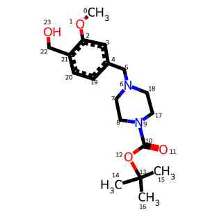 COc1cc(CN2CCN(C(=O)OC(C)(C)C)CC2)ccc1CO